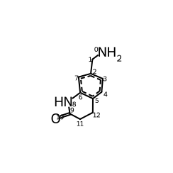 NCc1ccc2c(c1)NC(=O)CC2